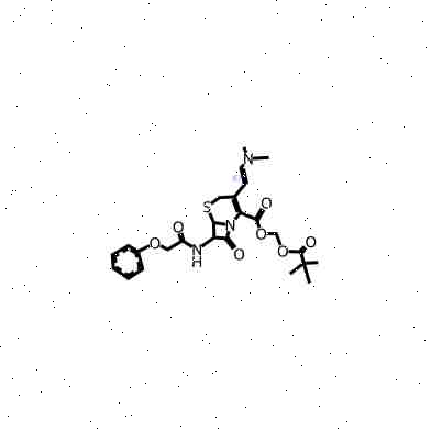 CN(C)/C=C/C1=C(C(=O)OCOC(=O)C(C)(C)C)N2C(=O)C(NC(=O)COc3ccccc3)C2SC1